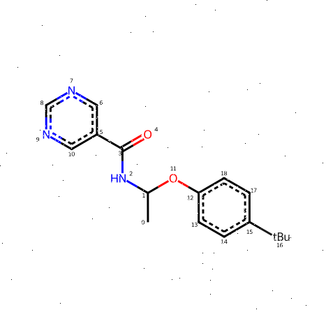 CC(NC(=O)c1cncnc1)Oc1ccc(C(C)(C)C)cc1